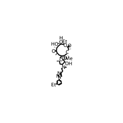 CCc1cccc(-n2cc(CCN(C)[C@H]3C[C@@H](C)O[C@@H](O[C@@H]4[C@@H](C)C[C@@H](C)C(=O)O[C@H](CC)[C@@](C)(O)[C@H](O)[C@@H](C)C(=O)[C@H](C)C[C@@]4(C)OC)[C@@H]3O)nn2)c1